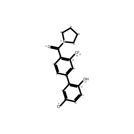 O=C(c1ccc(-c2cc(Cl)ccc2O)cc1C(F)(F)F)N1CCCC1